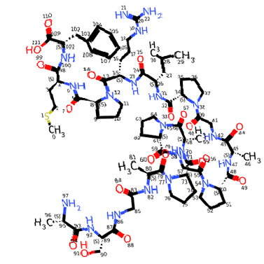 CSCC[C@H](NC(=O)[C@@H]1CCCN1C(=O)[C@H](CCCNC(=N)N)NC(=O)[C@H](CC(C)C)NC(=O)[C@@H]1CCCN1C(=O)CNC(=O)[C@H](C)NC(=O)[C@@H]1CCCN1C(=O)CNC(=O)[C@@H]1CCCN1C(=O)[C@H](C)NC(=O)[C@@H]1CCCN1C(=O)[C@H](C)NC(=O)CNC(=O)[C@H](CO)NC(=O)[C@H](C)N)C(=O)N[C@@H](Cc1ccccc1)C(=O)O